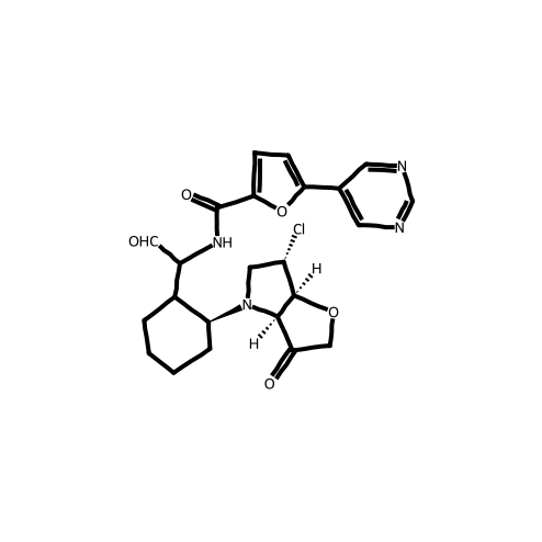 O=CC(NC(=O)c1ccc(-c2cncnc2)o1)C1CCCC[C@@H]1N1C[C@H](Cl)[C@H]2OCC(=O)[C@H]21